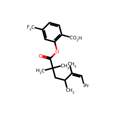 C/C(=C/C(C)C)C(C)CC(C)(C)C(=O)Oc1cc(C(F)(F)F)ccc1C(=O)O